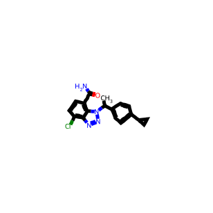 CC(c1ccc(C2CC2)cc1)n1nnc2c(Cl)ccc(C(N)=O)c21